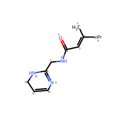 CCC/C(C)=C/C(=O)NCC1=NC=CCN1